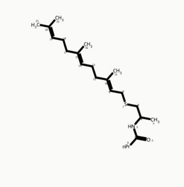 CCCC(=O)NC(C)CSC/C=C(\C)CC/C=C(\C)CCC=C(C)C